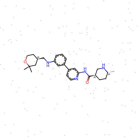 C[C@@H]1CC[C@@H](C(=O)Nc2cc(-c3cccc(NC[C@@H]4CCOC(C)(C)C4)c3)ccn2)CN1